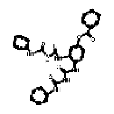 O=C(NC(=O)Nc1ccc(OC(=O)c2ccccc2)cc1NC(=O)NC(=O)Nc1ccccc1)Nc1ccccc1